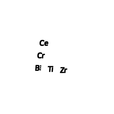 [B].[Ce].[Cr].[Ti].[Zr]